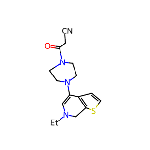 CCN1C=C(N2CCN(C(=O)CC#N)CC2)c2ccsc2C1